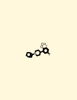 COc1ccc(F)cc1C1CCN(C2CC3CCC2C3)CC1